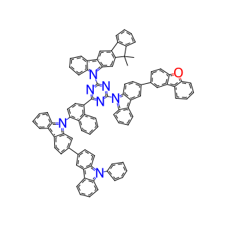 CC1(C)c2ccccc2-c2cc3c4ccccc4n(-c4nc(-c5ccc(-n6c7ccccc7c7ccc(-c8ccc9c(c8)c8ccccc8n9-c8ccccc8)cc76)c6ccccc56)nc(-n5c6ccccc6c6cc(-c7ccc8oc9ccccc9c8c7)ccc65)n4)c3cc21